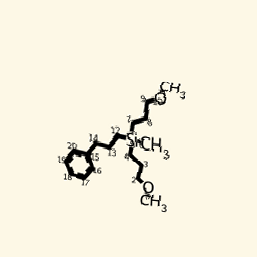 COCCC[Si](C)(CCCOC)CCCc1ccccc1